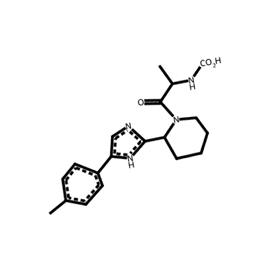 Cc1ccc(-c2cnc(C3CCCCN3C(=O)C(C)NC(=O)O)[nH]2)cc1